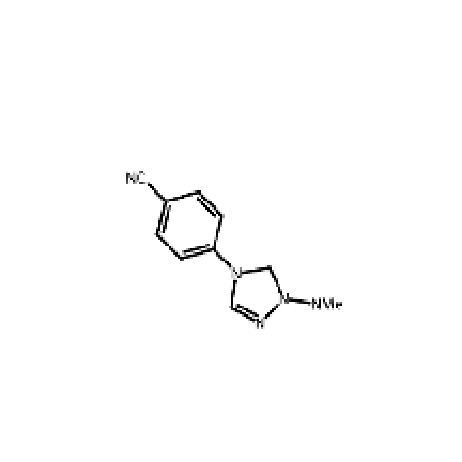 CNN1CN(c2ccc(C#N)cc2)C=N1